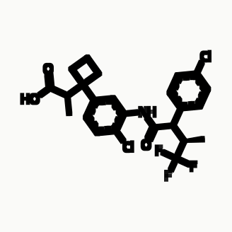 CC(C(=O)O)C1(c2ccc(Cl)c(NC(=O)C(c3ccc(Cl)cc3)[C@@H](C)C(F)(F)F)c2)CCC1